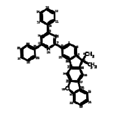 CC1(C)c2ccc(-c3nc(-c4ccccc4)cc(-c4ccccc4)n3)cc2-c2cc3oc4ccccc4c3cc21